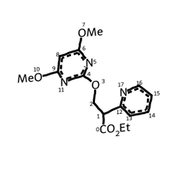 CCOC(=O)C(COc1nc(OC)cc(OC)n1)c1ccccn1